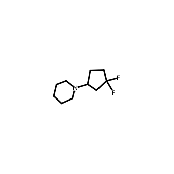 FC1(F)CCC(N2CCCCC2)C1